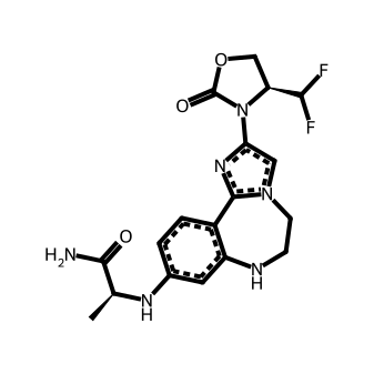 C[C@H](Nc1ccc2c(c1)NCCn1cc(N3C(=O)OC[C@H]3C(F)F)nc1-2)C(N)=O